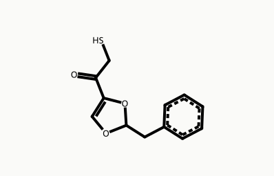 O=C(CS)C1=COC(Cc2ccccc2)O1